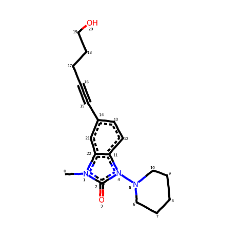 Cn1c(=O)n(N2CCCCC2)c2ccc(C#CCCCO)cc21